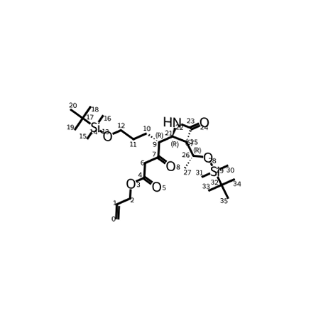 C=CCOC(=O)CC(=O)[C@H](CCCO[Si](C)(C)C(C)(C)C)[C@H]1NC(=O)[C@@H]1[C@@H](C)O[Si](C)(C)C(C)(C)C